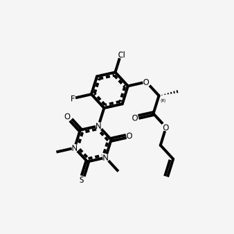 C=CCOC(=O)[C@@H](C)Oc1cc(-n2c(=O)n(C)c(=S)n(C)c2=O)c(F)cc1Cl